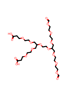 O=COCCOCCOCC(COCCOCCOC=O)OCCOC(COCCOCCC(=O)O)COCCOCCC(=O)O